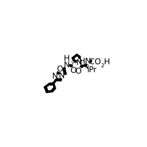 CC(C)[C@H](NC(=O)O)C(=O)N1CCC[C@H]1C(=O)Nc1cn2cc(-c3ccccc3)nc2o1